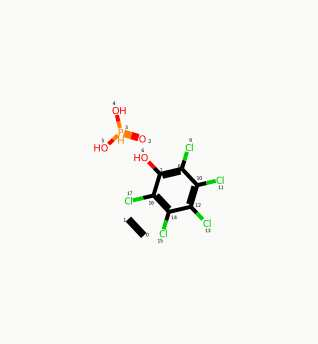 C=C.O=[PH](O)O.Oc1c(Cl)c(Cl)c(Cl)c(Cl)c1Cl